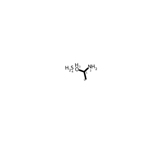 CC(N)O.S